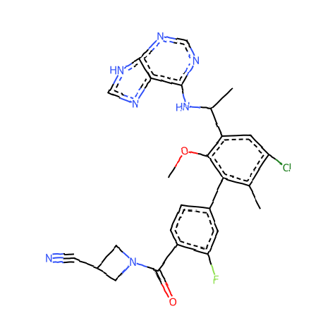 COc1c(C(C)Nc2ncnc3[nH]cnc23)cc(Cl)c(C)c1-c1ccc(C(=O)N2CC(C#N)C2)c(F)c1